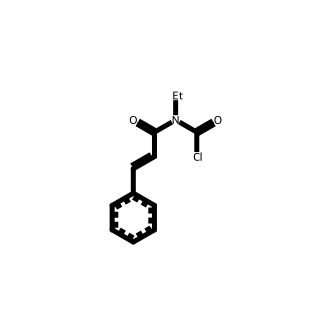 CCN(C(=O)Cl)C(=O)C=Cc1ccccc1